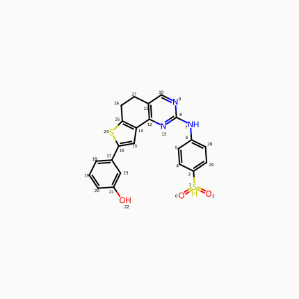 O=[SH](=O)c1ccc(Nc2ncc3c(n2)-c2cc(-c4cccc(O)c4)sc2CC3)cc1